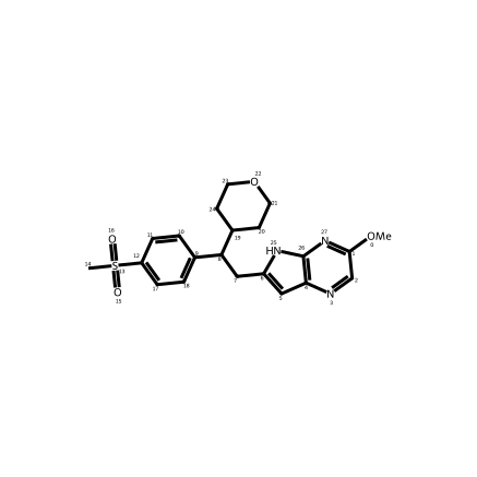 COc1cnc2cc(CC(c3ccc(S(C)(=O)=O)cc3)C3CCOCC3)[nH]c2n1